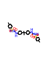 Cc1ccc(S(=O)(=O)NC(=O)Nc2ccc(C(C)(C)c3ccc(NC(=O)NS(=O)(=O)c4ccc(C)cc4)cc3)cc2)cc1